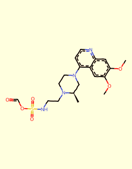 COc1cc2nccc(N3CCN(CCNS(=O)(=O)OC=O)[C@H](C)C3)c2cc1OC